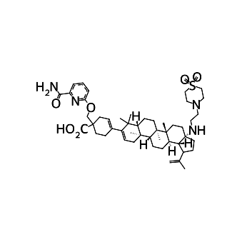 C=C(C)C1CC[C@]2(NCCN3CCS(=O)(=O)CC3)CC[C@]3(C)[C@H](CC[C@@H]4[C@@]5(C)CC=C(C6=CCC(COc7cccc(C(N)=O)n7)(C(=O)O)CC6)C(C)(C)[C@@H]5CC[C@]43C)[C@@H]12